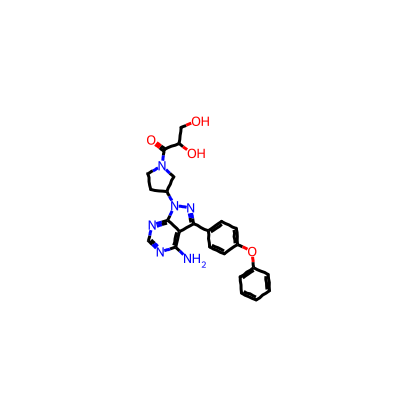 Nc1ncnc2c1c(-c1ccc(Oc3ccccc3)cc1)nn2C1CCN(C(=O)C(O)CO)C1